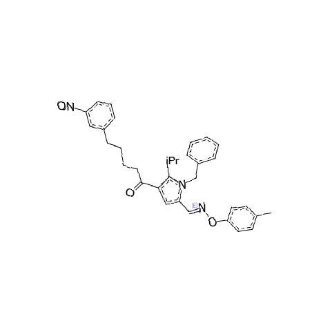 Cc1ccc(O/N=C/c2cc(C(=O)CCCCc3cccc(N=O)c3)c(C(C)C)n2Cc2ccccc2)cc1